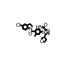 Cc1cc2c(cc1C(=O)N1CCc3cc(Cl)ccc31)[nH]c(=O)c1nnc(C3CCOC3)n12